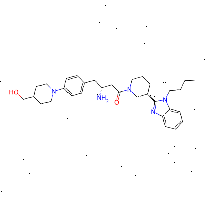 CCCCn1c([C@@H]2CCCN(C(=O)C[C@H](N)Cc3ccc(N4CCC(CO)CC4)cc3)C2)nc2ccccc21